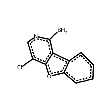 Bc1ncc(Cl)c2oc3ccccc3c12